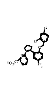 O=C(O)c1cccc(C2=C(c3cc(C(F)(F)F)ccc3OCc3ccc(Cl)cc3Cl)CCC2)n1